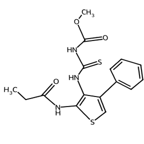 CCC(=O)Nc1scc(-c2ccccc2)c1NC(=S)NC(=O)OC